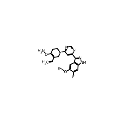 C=CC1=C(ON)CCN(c2cc(-c3n[nH]c4cc(F)c(OC(C)C)cc34)ncn2)C1